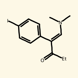 CCC(=O)/C(=C/N(C)C)c1ccc(I)cc1